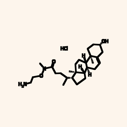 CC(CCC(=O)N(C)OCCN)[C@H]1CC[C@H]2[C@@H]3CC=C4C[C@@H](O)CC[C@]4(C)[C@H]3CC[C@]12C.Cl